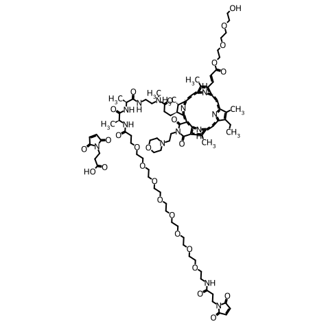 CCC1=C(C)c2cc3[nH]c(cc4nc(c5c6[nH]c(cc1n2)c(C)c6C(=O)N(CCN1CCOCC1)C5=O)[C@@H](CCC(=O)N(C)CCNC(=O)[C@H](C)NC(=O)[C@H](C)NC(=O)CCOCCOCCOCCOCCOCCOCCOCCOCCNC(=O)CCN1C(=O)C=CC1=O)[C@@H]4C)c(C)c3/C=C/C(=O)OCCOCCOCCO.O=C(O)CCN1C(=O)C=CC1=O